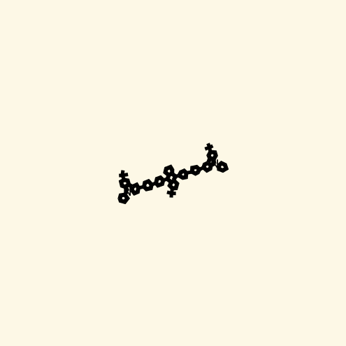 CC(C)(C)c1ccc2c(-c3ccc(-c4ccc(-c5ccc6c(c5)c5cc(C(C)(C)C)ccc5n6-c5ccccc5)cc4)cc3)c3ccccc3c(-c3ccc(-c4ccc(-c5ccc6c(c5)c5cc(C(C)(C)C)ccc5n6-c5ccccc5)cc4)cc3)c2c1